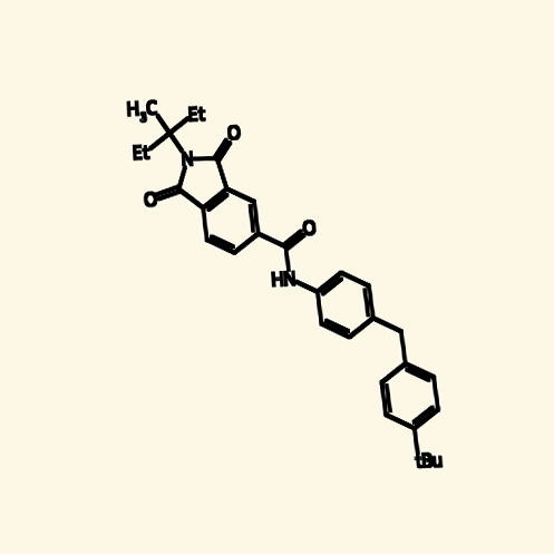 CCC(C)(CC)N1C(=O)c2ccc(C(=O)Nc3ccc(Cc4ccc(C(C)(C)C)cc4)cc3)cc2C1=O